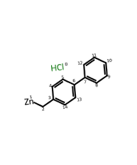 Cl.[Zn][CH2]c1ccc(-c2ccccc2)cc1